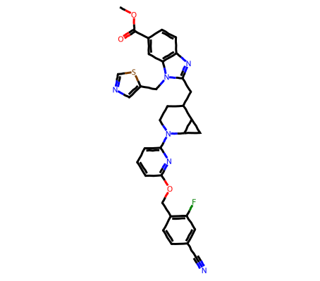 COC(=O)c1ccc2nc(CC3CCN(c4cccc(OCc5ccc(C#N)cc5F)n4)C4CC34)n(Cc3cncs3)c2c1